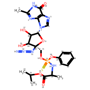 Cc1nc2c(ncn2[C@@H]2O[C@@](COP(=S)(NC(C)C(=O)OC(C)C)Oc3ccccc3)(N=[N+]=[N-])C(O)C2O)c(=O)[nH]1